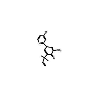 C=CC(C)(C)C1=CC(c2cc(Br)ccn2)C=C(C(C)(C)C)C1=O